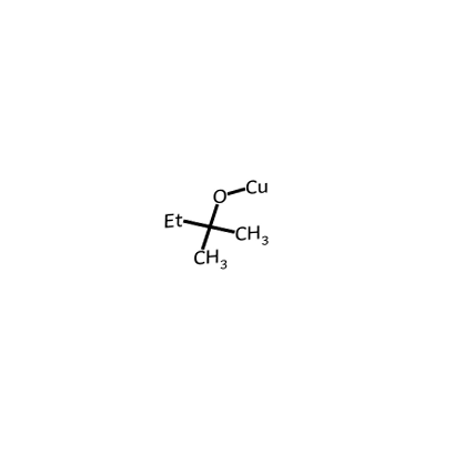 CCC(C)(C)[O][Cu]